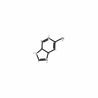 CC(C)C1=CC2N=CSC2C=N1